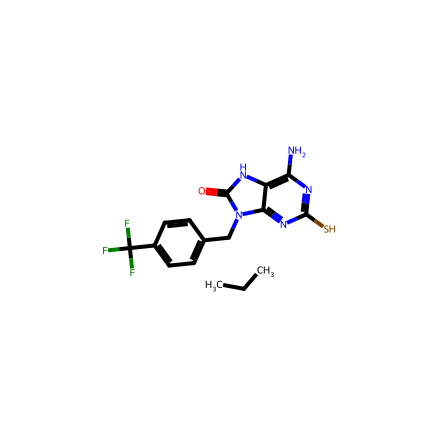 CCC.Nc1nc(S)nc2c1[nH]c(=O)n2Cc1ccc(C(F)(F)F)cc1